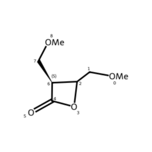 COCC1OC(=O)[C@H]1COC